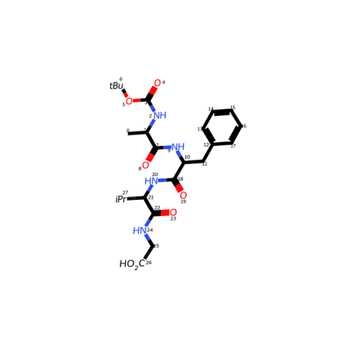 CC(NC(=O)OC(C)(C)C)C(=O)NC(Cc1ccccc1)C(=O)NC(C(=O)NCC(=O)O)C(C)C